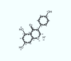 O=c1c(-c2ccc(O)cc2)coc2cc(O)cc(O)c12.[H+]